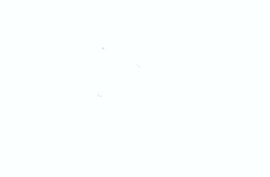 Cc1c(CC(N)c2ccccc2)c(=O)c(-c2ccccc2F)c(C)n1Cc1ccccc1C(F)(F)F